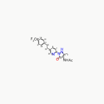 CC(=O)Nc1c(C)[nH]n(-c2ccc(CCc3ccc(C(F)(F)F)cc3)cn2)c1=O